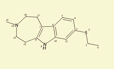 CCSc1ccc2c3c([nH]c2c1)CCN(C)CC3